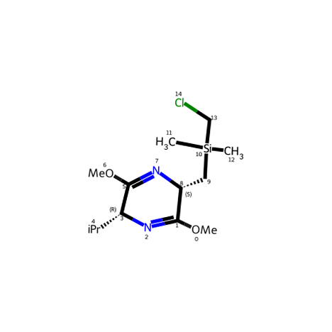 COC1=N[C@H](C(C)C)C(OC)=N[C@@H]1C[Si](C)(C)CCl